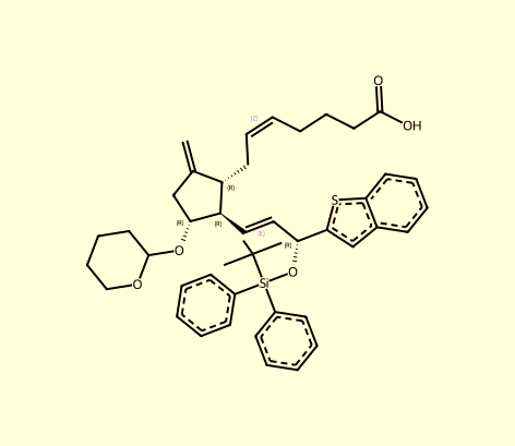 C=C1C[C@@H](OC2CCCCO2)[C@H](/C=C/[C@@H](O[Si](c2ccccc2)(c2ccccc2)C(C)(C)C)c2cc3ccccc3s2)[C@H]1C/C=C\CCCC(=O)O